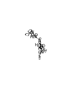 O=C(CCN1CCOCC1)Nc1ccc2c(=O)n(CC3(O)CCN(C(=O)CCCCNC(=O)c4ccc5c(Cl)c6c(nc5c4)CCCC6)CC3)cnc2c1